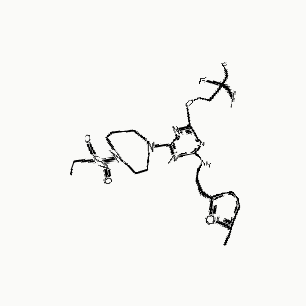 CCS(=O)(=O)N1CCN(c2nc(NCc3ccc(C)o3)nc(OCC(F)(F)F)n2)CC1